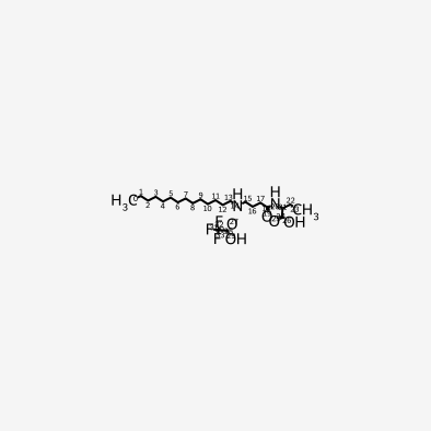 CCCCCCCCCCCCCCNCCCC(=O)NC(CC)C(=O)O.O=C(O)C(F)(F)F